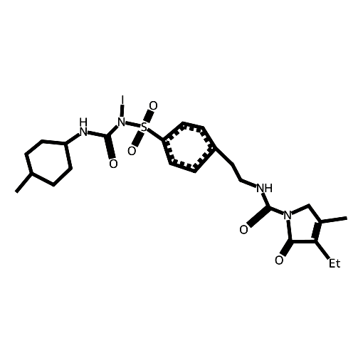 CCC1=C(C)CN(C(=O)NCCc2ccc(S(=O)(=O)N(I)C(=O)NC3CCC(C)CC3)cc2)C1=O